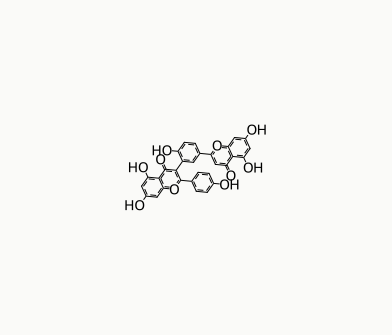 O=c1cc(-c2ccc(O)c(-c3c(-c4ccc(O)cc4)oc4cc(O)cc(O)c4c3=O)c2)oc2cc(O)cc(O)c12